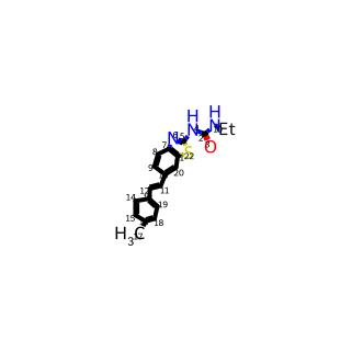 CCNC(=O)Nc1nc2ccc(C=Cc3ccc(C)cc3)cc2s1